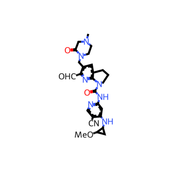 COC1CC1Nc1cc(NC(=O)N2CCCc3cc(CN4CCN(C)CC4=O)c(C=O)nc32)ncc1C#N